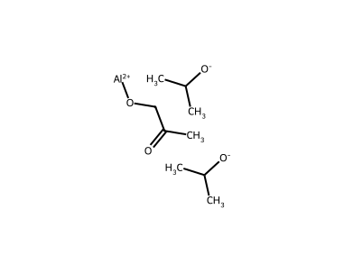 CC(=O)C[O][Al+2].CC(C)[O-].CC(C)[O-]